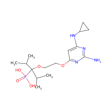 CC(C)C(OCCOc1cc(NC2CC2)nc(N)n1)(C(C)C)P(=O)(O)O